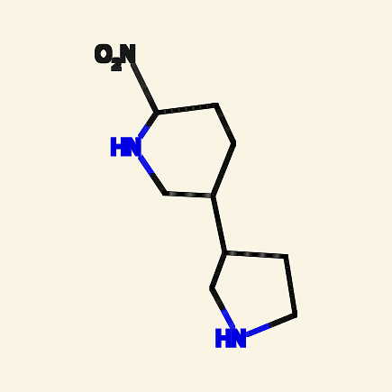 O=[N+]([O-])C1CCC(C2CCNC2)CN1